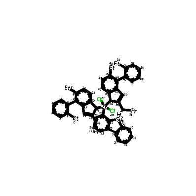 CCc1ccccc1-c1c(CC)ccc2c1C=C(CC(C)C)[CH]2[Zr]([Cl])([Cl])([c]1cccc2c1[SiH2]c1ccccc1-2)[CH]1C(CC(C)C)=Cc2c1ccc(CC)c2-c1ccccc1CC